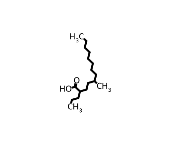 CCCCCCCCC(C)CCC(CCC)C(=O)O